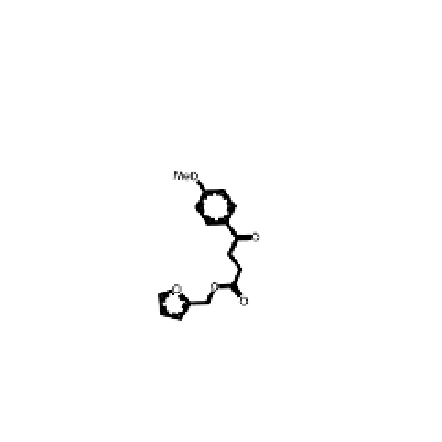 COc1ccc(C(=O)CCC(=O)OCc2ccco2)cc1